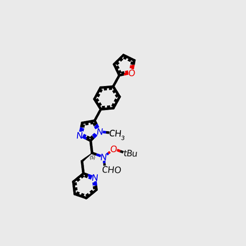 Cn1c(-c2ccc(-c3ccco3)cc2)cnc1[C@H](Cc1ccccn1)N(C=O)OC(C)(C)C